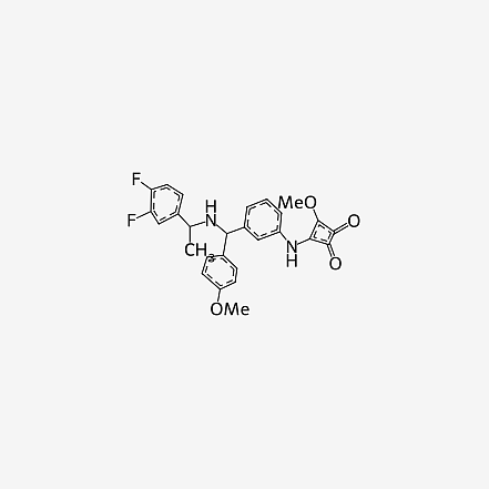 COc1ccc(C(NC(C)c2ccc(F)c(F)c2)c2cccc(Nc3c(OC)c(=O)c3=O)c2)cc1